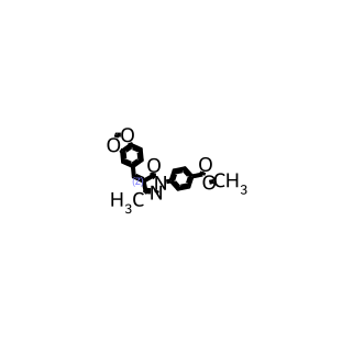 COC(=O)c1ccc(N2N=C(C)/C(=C/c3ccc4c(c3)OCO4)C2=O)cc1